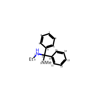 CCNC(NC)(c1ccccc1)c1ccccc1